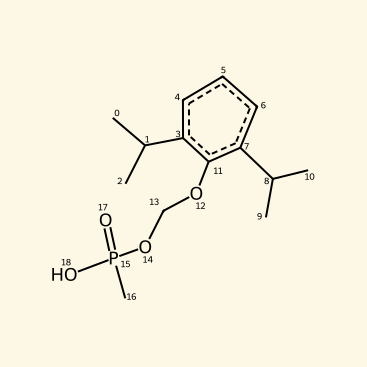 CC(C)c1cccc(C(C)C)c1OCOP(C)(=O)O